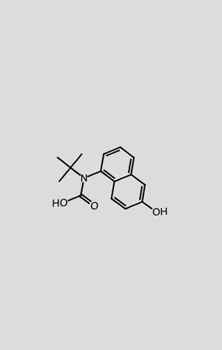 CC(C)(C)N(C(=O)O)c1cccc2cc(O)ccc12